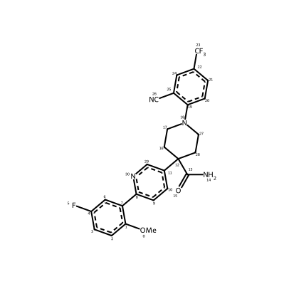 COc1ccc(F)cc1-c1ccc(C2(C(N)=O)CCN(c3ccc(C(F)(F)F)cc3C#N)CC2)cn1